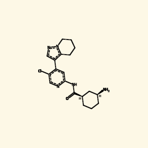 N[C@H]1CCC[C@@H](C(=O)Nc2cc(-c3cnn4c3CCCC4)c(Cl)cn2)C1